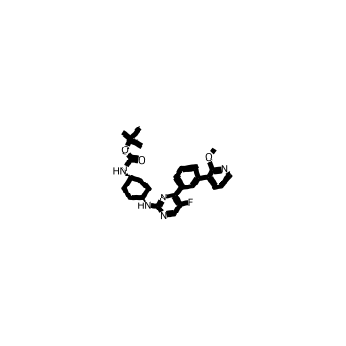 COc1ncccc1-c1cccc(-c2nc(N[C@H]3CC[C@H](NC(=O)OC(C)(C)C)CC3)ncc2F)c1